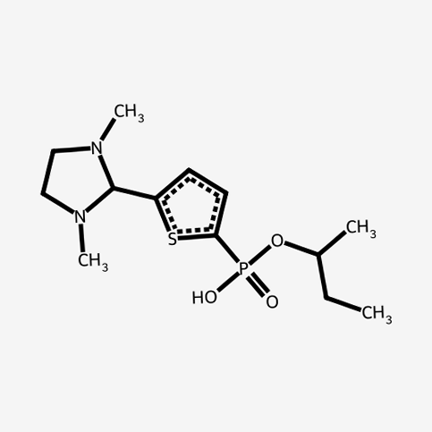 CCC(C)OP(=O)(O)c1ccc(C2N(C)CCN2C)s1